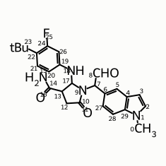 Cn1ccc2cc(C(C=O)N3C(=O)CC(C(N)=O)C3Nc3ccc(C(C)(C)C)c(F)c3)ccc21